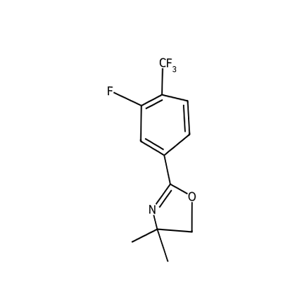 CC1(C)COC(c2ccc(C(F)(F)F)c(F)c2)=N1